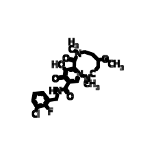 COC1CCN(C)C(=O)c2c(O)c(=O)c(C(=O)NCc3cccc(Cl)c3F)cn2N(C)CC1